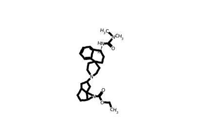 CCOC(=O)N1C2CCC3CC(N4CCC5(CC[C@@H](NC(=O)N(C)C)c6ccccc65)CC4)CC321